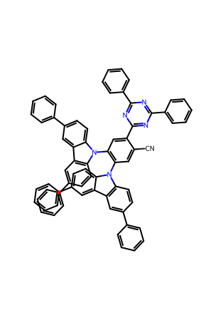 N#Cc1cc(-n2c3ccc(-c4ccccc4)cc3c3cc(-c4ccccc4)ccc32)c(-n2c3ccc(-c4ccccc4)cc3c3cc(-c4ccccc4)ccc32)cc1-c1nc(-c2ccccc2)nc(-c2ccccc2)n1